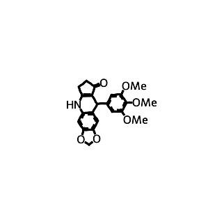 COc1cc(C2C3=C(CCC3=O)Nc3cc4c(cc32)OCO4)cc(OC)c1OC